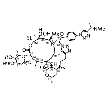 CC[C@H]1OC(=O)[C@H](C)[C@@H](O[C@H]2C[C@@](C)(OC)[C@@H](O)[C@H](C)O2)[C@H](C)[C@@H](O[C@@H]2O[C@H](C)C[C@H](N(C)CCc3cn([C@H](CF)[C@H](OC)c4ccc(-n5cc(C(C)NC)nn5)cc4)nn3)[C@H]2O)[C@](C)(O)C[C@@H](C)CN(C)[C@H](C)[C@@H](O)[C@]1(C)O